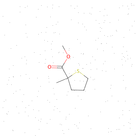 COC(=O)C1(C)CCCS1